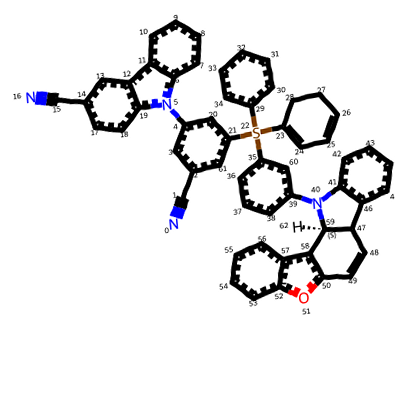 N#Cc1cc(-n2c3ccccc3c3cc(C#N)ccc32)cc(S(C2=CC=CCC2)(c2ccccc2)c2cccc(N3c4ccccc4C4C=Cc5oc6ccccc6c5[C@H]43)c2)c1